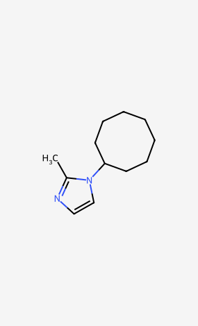 Cc1nccn1C1CCCCCCC1